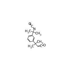 CC(C)(C=C=O)c1cccc(C(C)(C)N=C=O)c1